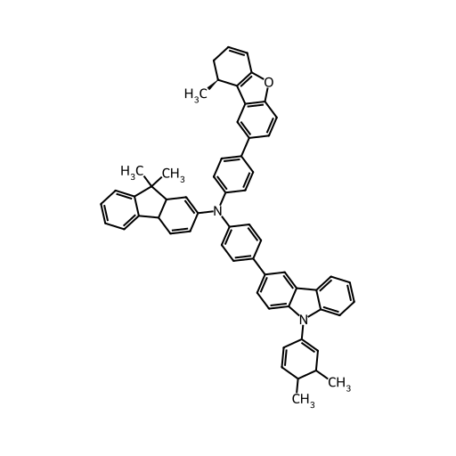 CC1C=CC(n2c3ccccc3c3cc(-c4ccc(N(C5=CC6C(C=C5)c5ccccc5C6(C)C)c5ccc(-c6ccc7oc8c(c7c6)[C@@H](C)CC=C8)cc5)cc4)ccc32)=CC1C